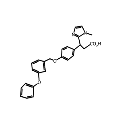 Cn1ccnc1C(CC(=O)O)c1ccc(OCc2cccc(Oc3ccccc3)c2)cc1